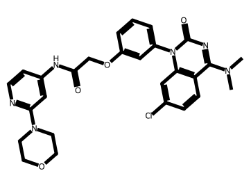 CN(C)c1nc(=O)n(-c2cccc(OCC(=O)Nc3ccnc(N4CCOCC4)c3)c2)c2cc(Cl)ccc12